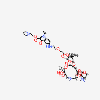 CC[C@H]1OC(=O)[C@H](C)[C@@H](O[C@H]2C[C@@](C)(OC)[C@@H](OC(=O)CCOCCNc3ccc4c(c3)c(=O)c(C(=O)OCCN3CCCC3)cn4C3CC3)[C@H](C)O2)[C@H](C)[C@@H](O[C@@H]2O[C@H](C)C[C@H](N(C)C)[C@H]2O)[C@](C)(O)C[C@@H](C)CN(C)[C@H](C)[C@@H](O)[C@]1(C)O